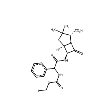 CC1(C)S[C@@H]2[C@H](NC(=O)C(NC(=O)OCI)c3ccccc3)C(=O)N2[C@H]1C(=O)O